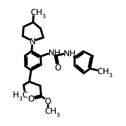 CCC(CC(=O)OC)c1ccc(N2CCC(C)CC2)c(NC(=O)Nc2ccc(C)cc2)c1